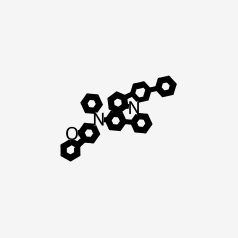 C1=CC2c3ccccc3N(c3ccccc3-c3ccc(N(c4ccccc4)c4ccc5c(c4)oc4ccccc45)cc3)C2C=C1c1ccccc1